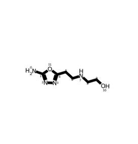 Nc1nnc(CCNCCO)o1